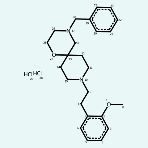 COc1ccccc1CCN1CCC2(CC1)CN(Cc1ccccc1)CCO2.Cl.Cl